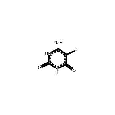 O=c1[nH]cc(F)c(=O)[nH]1.[NaH]